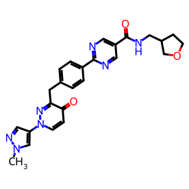 Cn1cc(-n2ccc(=O)c(Cc3ccc(-c4ncc(C(=O)NCC5CCOC5)cn4)cc3)n2)cn1